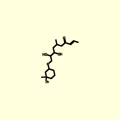 CC=CC(=O)CC(C)CC(O)C(O)COC1CCCC(C)(C(C)C)C1